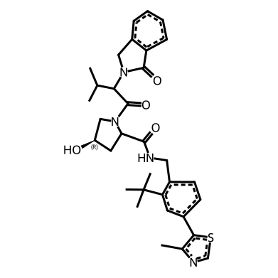 Cc1ncsc1-c1ccc(CNC(=O)C2C[C@@H](O)CN2C(=O)C(C(C)C)N2Cc3ccccc3C2=O)c(C(C)(C)C)c1